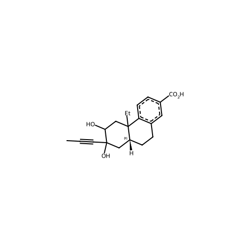 CC#CC1(O)C[C@H]2CCc3cc(C(=O)O)ccc3C2(CC)CC1O